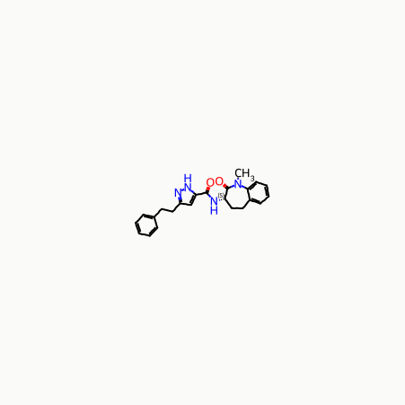 CN1C(=O)[C@@H](NC(=O)c2cc(CCc3ccccc3)n[nH]2)CCc2ccccc21